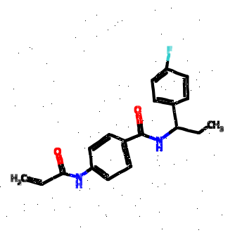 C=CC(=O)Nc1ccc(C(=O)NC(CC)c2ccc(F)cc2)cc1